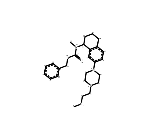 COCCN1CCN(c2ccc3c(c2)C(N(C)C(=O)OCc2ccccc2)CCC3)CC1